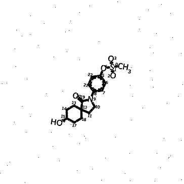 CS(=O)(=O)Oc1ccc(N2CCC3(CCC(O)CC3)C2=O)cc1